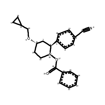 N#Cc1ccc([C@@H]2C[C@@H](OCC3CC3)CCN2OC(=O)c2ccccc2)cc1